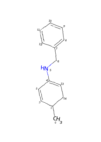 CC1C=CC(NCc2ccccc2)=CC1